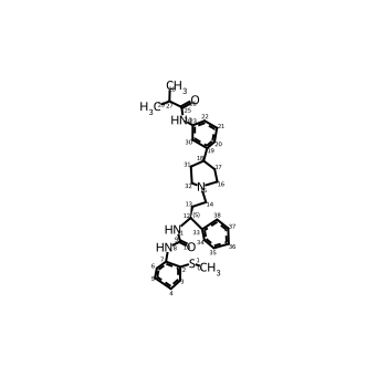 CSc1ccccc1NC(=O)N[C@@H](CCN1CCC(c2cccc(NC(=O)C(C)C)c2)CC1)c1ccccc1